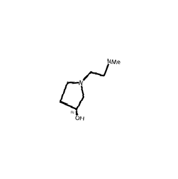 [CH2-][NH2+]CCN1CC[C@H](O)C1